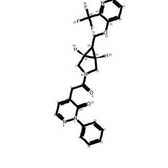 O=C(Cc1ccnn(-c2ccccc2)c1=O)N1C[C@@H]2C(COc3cccnc3C(F)(F)F)[C@@H]2C1